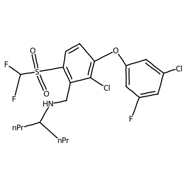 CCCC(CCC)NCc1c(S(=O)(=O)C(F)F)ccc(Oc2cc(F)cc(Cl)c2)c1Cl